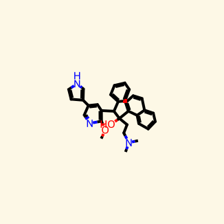 COc1ncc(-c2cc[nH]c2)cc1C(c1ccccc1)C(O)(CCN(C)C)c1cccc2ccccc12